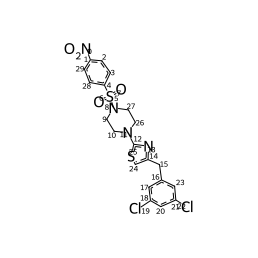 O=[N+]([O-])c1ccc(S(=O)(=O)N2CCN(c3nc(Cc4cc(Cl)cc(Cl)c4)cs3)CC2)cc1